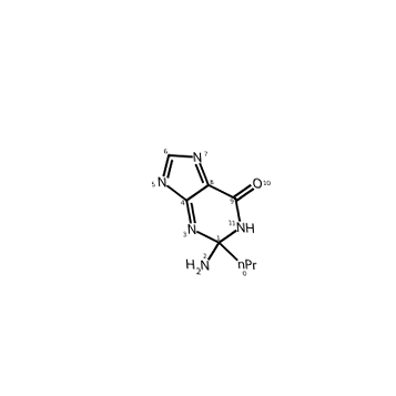 CCCC1(N)N=C2N=CN=C2C(=O)N1